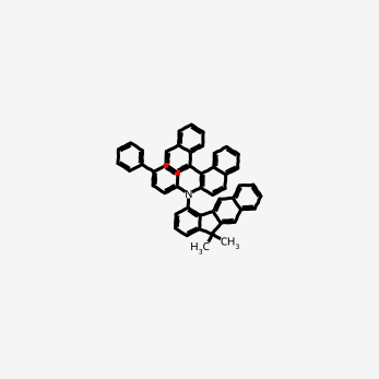 CC1(C)c2cc3ccccc3cc2-c2c(N(c3ccc(-c4ccccc4)cc3)c3ccc4ccccc4c3-c3cccc4ccccc34)cccc21